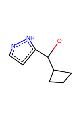 [O]C(c1ccn[nH]1)C1CCC1